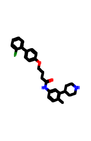 Cc1ccc(NC(=O)CCCOc2ccc(-c3ccccc3F)cc2)cc1C1CCNCC1